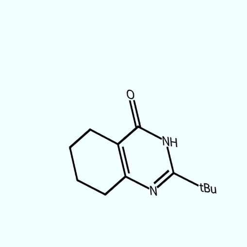 CC(C)(C)c1nc2c(c(=O)[nH]1)CCCC2